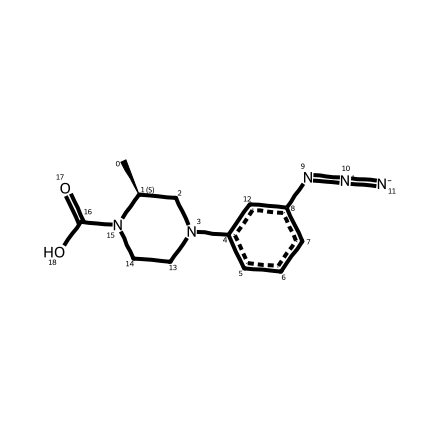 C[C@H]1CN(c2cccc(N=[N+]=[N-])c2)CCN1C(=O)O